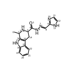 CC1NC(C(=O)N/N=C/c2ncc[nH]2)Cc2c1[nH]c1ccccc21